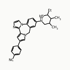 CCC(S)C(C)C(C)CNc1ccc2c(c1)Cn1cc(-c3ccc(C#N)cc3)cc1-c1nccn1-2